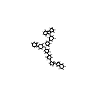 CC1c2oc3ccccc3c2C=CC1N(c1ccc(-c2ccc(-c3cccc(-c4ccc5ccccc5c4)c3)cc2)cc1)c1ccc(-c2cccc(-n3c4ccccc4c4ccccc43)c2)cc1